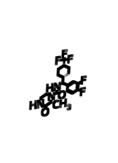 C[C@@H]1C(=O)NCCN1C(=O)N[C@@H](c1ccc(F)c(F)c1)[C@H]1CC[C@H](C(F)(F)F)CC1